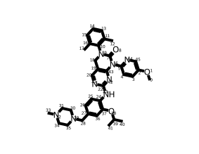 COc1ccc(N2C(=O)N(c3c(C)cccc3C)Cc3cnc(Nc4ccc(CN5CCN(C)CC5)cc4OC(C)C)nc32)nc1